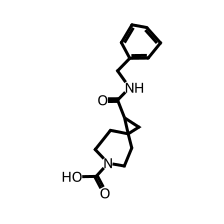 O=C(NCc1ccccc1)C1CC12CCN(C(=O)O)CC2